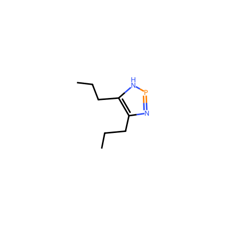 CCCc1np[nH]c1CCC